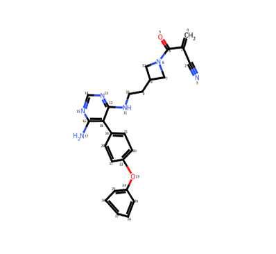 C=C(C#N)C(=O)N1CC(CCNc2ncnc(N)c2-c2ccc(Oc3ccccc3)cc2)C1